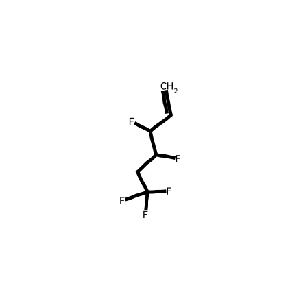 C=CC(F)C(F)CC(F)(F)F